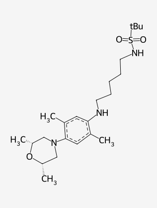 Cc1cc(N2C[C@@H](C)O[C@@H](C)C2)c(C)cc1NCCCCCNS(=O)(=O)C(C)(C)C